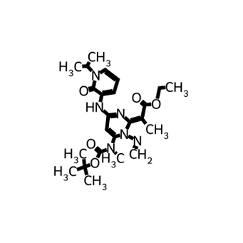 C=NN1C(N(C)C(=O)OC(C)(C)C)=CC(Nc2cccn(C(C)C)c2=O)=N/C1=C(/C)C(=O)OCC